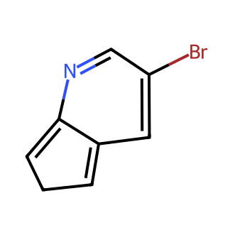 Brc1cnc2c(c1)=CCC=2